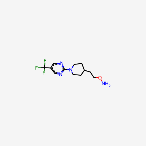 NOCCC1CCN(c2ncc(C(F)(F)F)cn2)CC1